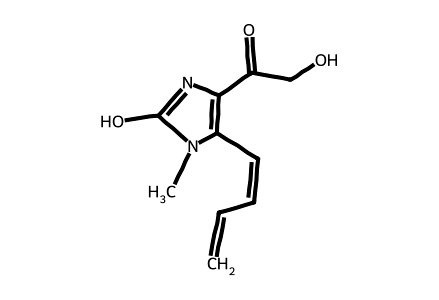 C=C/C=C\c1c(C(=O)CO)nc(O)n1C